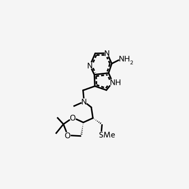 CSC[C@@H](CN(C)Cc1c[nH]c2c(N)ncnc12)[C@@H]1COC(C)(C)O1